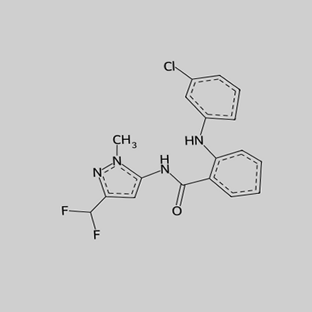 Cn1nc(C(F)F)cc1NC(=O)c1ccccc1Nc1cccc(Cl)c1